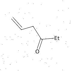 C=CCC(=O)CC